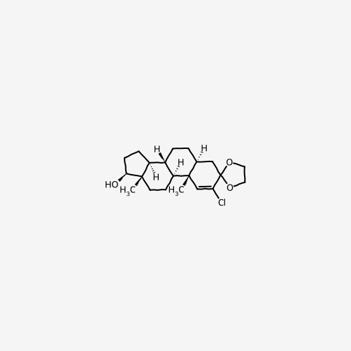 C[C@]12C=C(Cl)C3(C[C@@H]1CC[C@@H]1[C@@H]2CC[C@]2(C)[C@@H](O)CC[C@@H]12)OCCO3